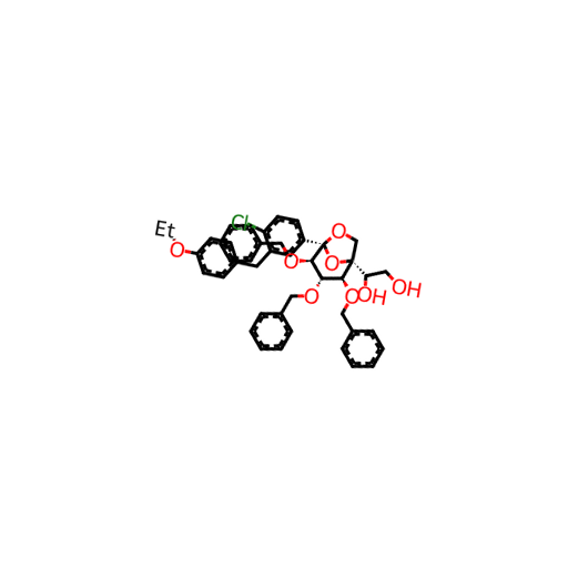 CCOc1ccc(Cc2cc([C@]34OC[C@](C(O)CO)(O3)[C@@H](OCc3ccccc3)[C@H](OCc3ccccc3)[C@H]4OCc3ccccc3)ccc2Cl)cc1